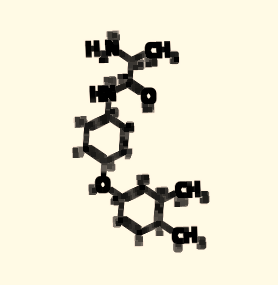 Cc1ccc(Oc2ccc(NC(=O)C(C)N)cc2)cc1C